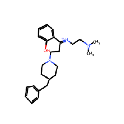 CN(C)CC/N=C(\CCN1CCC(Cc2ccccc2)CC1)c1ccccc1O